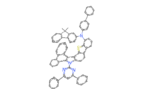 CC1(C)c2ccccc2-c2ccc(N(c3ccc(-c4ccccc4)cc3)c3cccc4c3sc3c4ccc4c3c3c5ccccc5c5ccccc5c3n4-c3nc(-c4ccccc4)cc(-c4ccccc4)n3)cc21